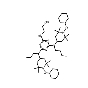 CCCCN(c1nc(NCCO)nc(C(CCC)C2CC(C)(C)N(OC3CCCCC3)C(C)(C)C2)n1)C1CC(C)(C)N(OC2CCCCC2)C(C)(C)C1